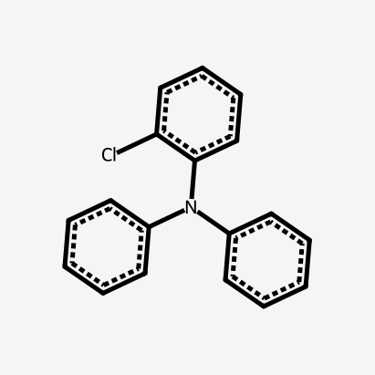 Clc1ccccc1N(c1ccccc1)c1ccccc1